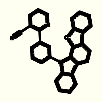 N#Cc1cccnc1-c1cccc(-n2c3ccccc3c3ccc4c5ccccc5oc4c32)c1